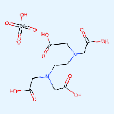 O=C(O)CN(CCN(CC(=O)O)CC(=O)O)CC(=O)O.[O]=[Re](=[O])(=[O])[OH]